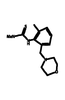 CNC(=S)Nc1c(C)cccc1CN1CCOCC1